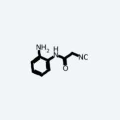 [C-]#[N+]CC(=O)Nc1ccccc1N